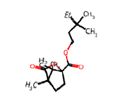 CCC(C)(C)CCOC(=O)C12CCC(C)(C(=O)O1)C2(C)C